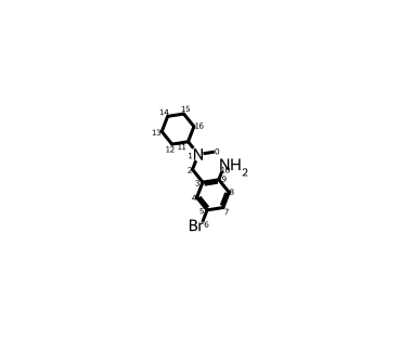 CN(Cc1cc(Br)ccc1N)C1CCCCC1